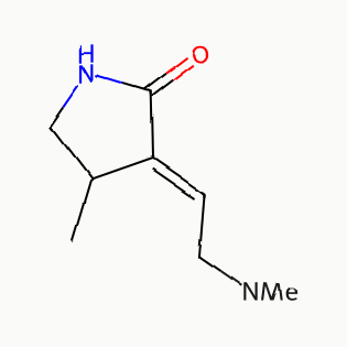 CNC/C=C1/C(=O)NCC1C